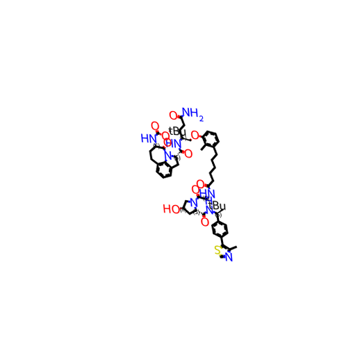 Cc1ncsc1-c1ccc([C@H](C)NC(=O)[C@@H]2C[C@@H](O)CN2C(=O)[C@@H](NC(=O)CCCCCc2cccc(OC[C@H](CCC(N)=O)NC(=O)[C@@H]3Cc4cccc5c4N3C(=O)[C@@H](NC(=O)OC(C)(C)C)CC5)c2C)C(C)(C)C)cc1